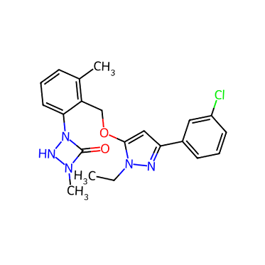 CCn1nc(-c2cccc(Cl)c2)cc1OCc1c(C)cccc1-n1[nH]n(C)c1=O